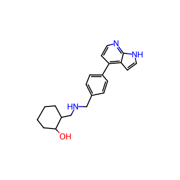 OC1CCCCC1CNCc1ccc(-c2ccnc3[nH]ccc23)cc1